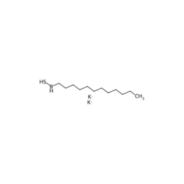 CCCCCCCCCCCCBS.[K].[K]